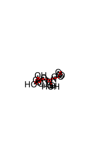 C[N+](CCCNC(=O)CCCC(=O)ON1C(=O)CCC1=O)(CCCNC(=O)c1ccc2c(c1)C(=O)OC21c2ccc(O)cc2Oc2cc(O)ccc21)CCCS(=O)(=O)O